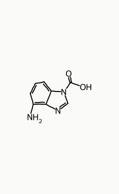 Nc1cccc2c1ncn2C(=O)O